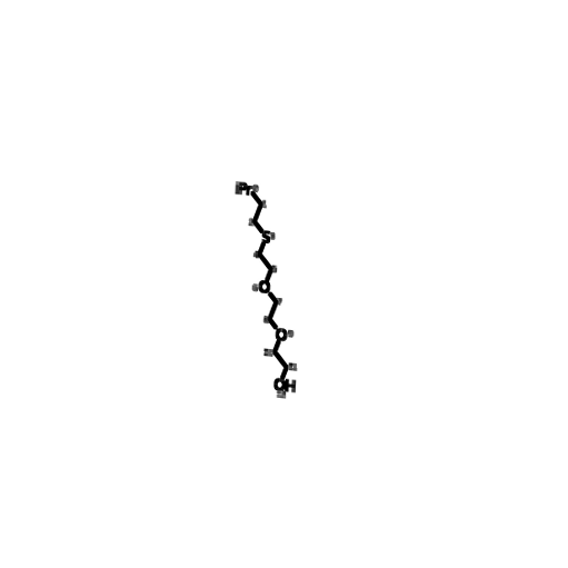 CC(C)CCSCCOCCOCCO